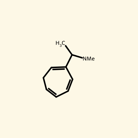 CNC(C)C1=CCC=CC=C1